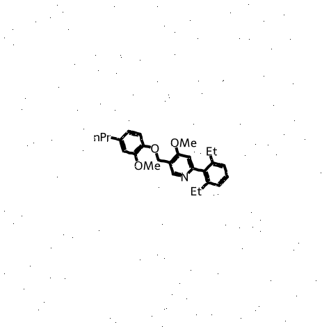 CCCc1ccc(OCc2cnc(-c3c(CC)cccc3CC)cc2OC)c(OC)c1